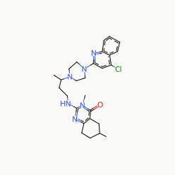 CC1CCc2nc(NCCC(C)N3CCN(c4cc(Cl)c5ccccc5n4)CC3)n(C)c(=O)c2C1